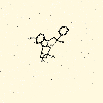 Cc1ccc2c(c1)c1c(n2CC(C)(O)c2ccncc2)CC2(C)CCC1N2C